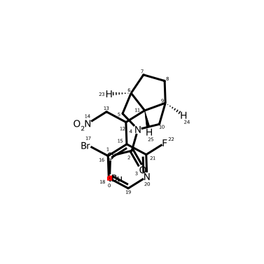 CC(C)(C)OC(=O)N1C[C@H]2CC[C@@H](C1)[C@@H]2C(C[N+](=O)[O-])c1c(Br)ccnc1F